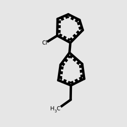 CCc1ccc(-c2ccccc2Cl)cc1